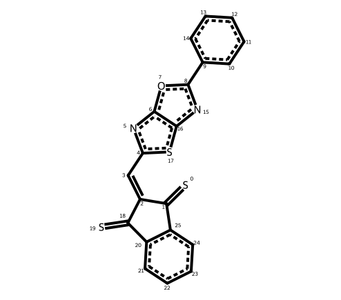 S=C1C(=Cc2nc3oc(-c4ccccc4)nc3s2)C(=S)c2ccccc21